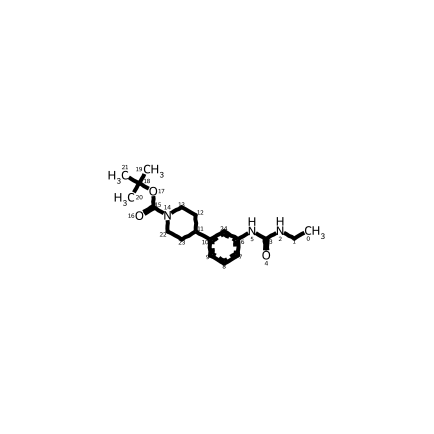 CCNC(=O)Nc1cccc(C2CCN(C(=O)OC(C)(C)C)CC2)c1